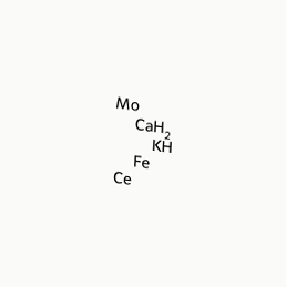 [CaH2].[Ce].[Fe].[KH].[Mo]